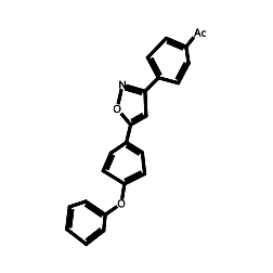 CC(=O)c1ccc(-c2cc(-c3ccc(Oc4ccccc4)cc3)on2)cc1